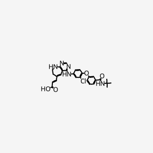 CC(C)(C)NC(=O)c1cccc(Oc2ccc(Nc3ncnc4c3C=C(C=CC(=O)O)CCN4)cc2Cl)c1